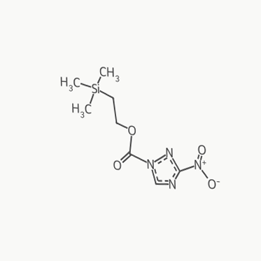 C[Si](C)(C)CCOC(=O)n1cnc([N+](=O)[O-])n1